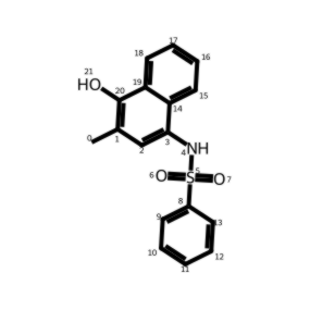 Cc1cc(NS(=O)(=O)c2ccccc2)c2ccccc2c1O